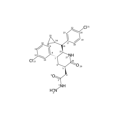 NNC(=O)C[C@H]1C[C@H](c2cccc(Cl)c2)[C@@H](C(c2ccc(Cl)cc2)C2CC2)NC1=O